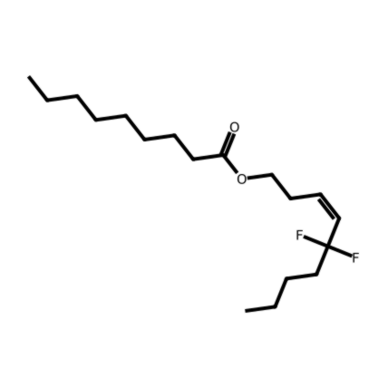 CCCCCCCCC(=O)OCC/C=C\C(F)(F)CCCC